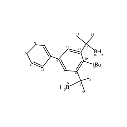 BC(C)(C)c1cc(C2=CCCC=C2)cc(C(B)(C)C)c1C(C)(C)C